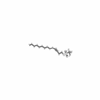 CCCCCCCCCCC#CCCOS(=O)(=O)C(F)(F)F